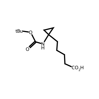 CC(C)(C)OC(=O)NC1(CCCCC(=O)O)CC1